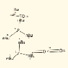 CCCCP(CCCC)CCCC.CCCCP(CCCC)CCCC.[C]=O.[C]=O.[C]=O.[Ru]